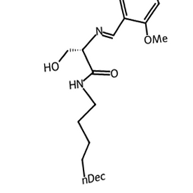 CCCCCCCCCCCCCCNC(=O)[C@H](CO)/N=C/c1ccccc1OC